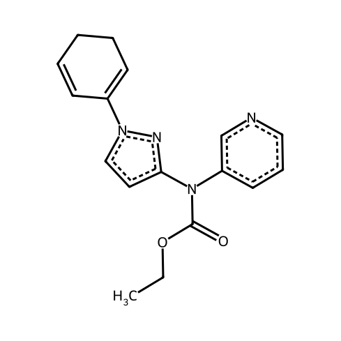 CCOC(=O)N(c1cccnc1)c1ccn(C2=CCCC=C2)n1